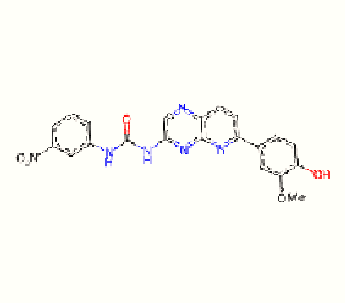 COc1cc(-c2ccc3ncc(NC(=O)Nc4cccc([N+](=O)[O-])c4)nc3n2)ccc1O